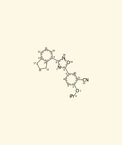 CC(C)Oc1ccc(-c2nc(-c3cccc4c3CC[CH]4)no2)cc1C#N